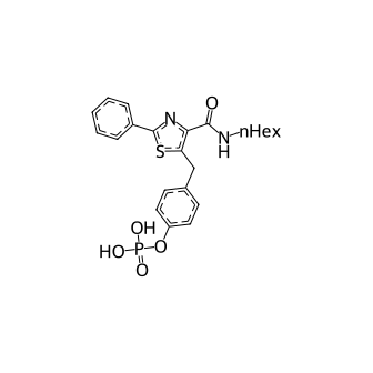 CCCCCCNC(=O)c1nc(-c2ccccc2)sc1Cc1ccc(OP(=O)(O)O)cc1